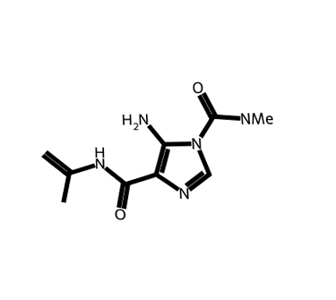 C=C(C)NC(=O)c1ncn(C(=O)NC)c1N